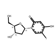 O=c1cc(O)c(I)cn1[C@@H]1C[C@H](O)[C@@H](CO)O1